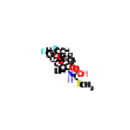 CSCCC(NC(=O)c1ccc(CC(Cc2cc(F)cc(F)c2)C(=O)OC(C)(C)C)cc1-c1ccccc1C)C(=O)O.[LiH]